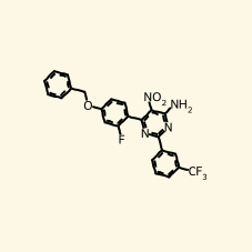 Nc1nc(-c2cccc(C(F)(F)F)c2)nc(-c2ccc(OCc3ccccc3)cc2F)c1[N+](=O)[O-]